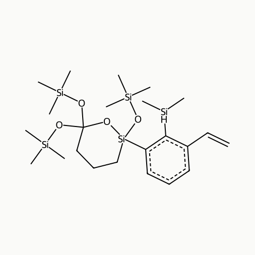 C=Cc1cccc([Si]2(O[Si](C)(C)C)CCCC(O[Si](C)(C)C)(O[Si](C)(C)C)O2)c1[SiH](C)C